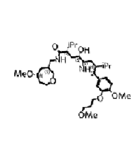 COCCCOc1cc(C[C@@H](C[C@H](N)[C@@H](O)C[C@H](C(=O)NC[C@H]2COCC[C@H](OC)C2)C(C)C)C(C)C)ccc1OC